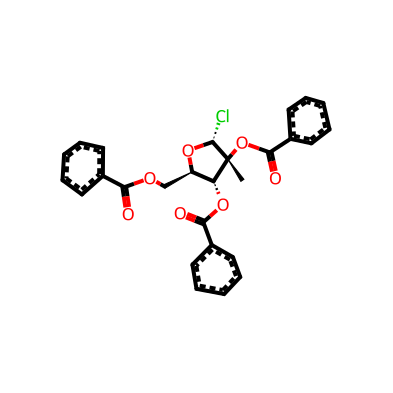 C[C@@]1(OC(=O)c2ccccc2)[C@H](OC(=O)c2ccccc2)[C@@H](COC(=O)c2ccccc2)O[C@@H]1Cl